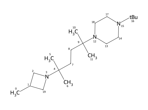 CC1CN(C(C)(C)CCC(C)(C)N2CCN(C(C)(C)C)CC2)C1